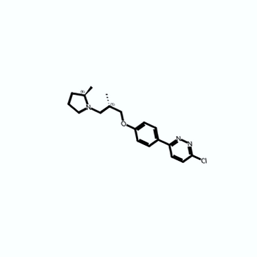 C[C@H](COc1ccc(-c2ccc(Cl)nn2)cc1)CN1CCC[C@H]1C